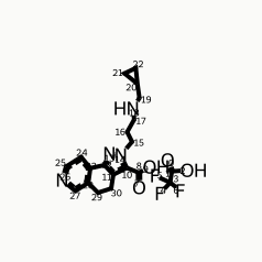 O=C(O)C(F)(F)F.O=C(O)c1c2c(nn1CCCNCC1CC1)-c1ccncc1CC2